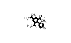 CC(C)c1cc(C(C)C)c(-c2ccc(Br)cn2)c(C(C)C)c1